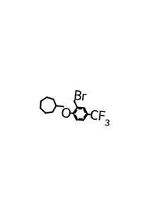 FC(F)(F)c1ccc(OCC2CCCCCC2)c(CBr)c1